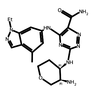 CCn1ncc2c(C)cc(Nc3nc(N[C@@H]4CCOC[C@@H]4N)nnc3C(N)=O)cc21